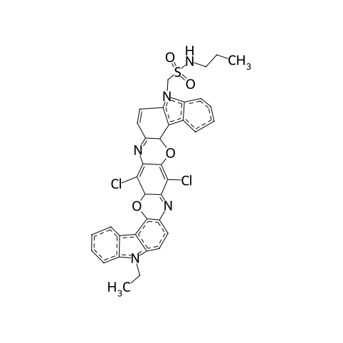 CCCNS(=O)(=O)Cn1c2c(c3ccccc31)C1OC3=C(Cl)C4=Nc5ccc6c(c5OC4C(Cl)=C3N=C1C=C2)c1ccccc1n6CC